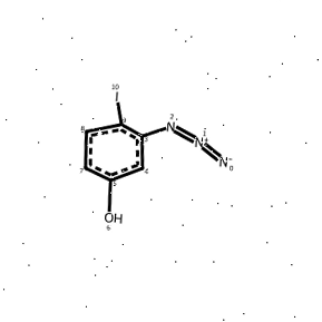 [N-]=[N+]=Nc1cc(O)ccc1I